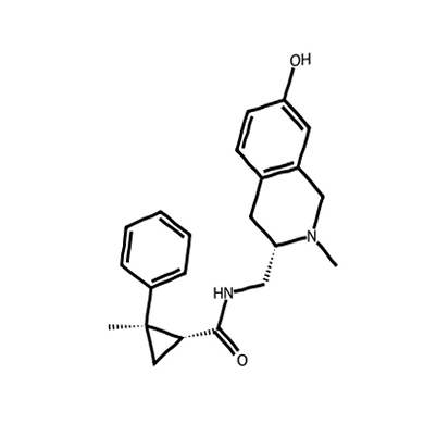 CN1Cc2cc(O)ccc2C[C@H]1CNC(=O)[C@@H]1C[C@@]1(C)c1ccccc1